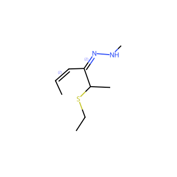 C/C=C\C(=N\NC)C(C)SCC